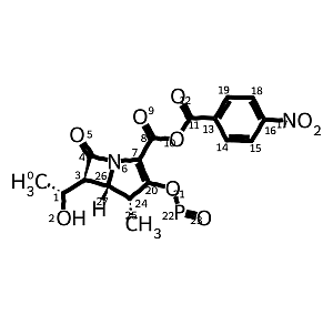 C[C@@H](O)[C@H]1C(=O)N2C(C(=O)OC(=O)c3ccc([N+](=O)[O-])cc3)=C(OP=O)[C@H](C)[C@H]12